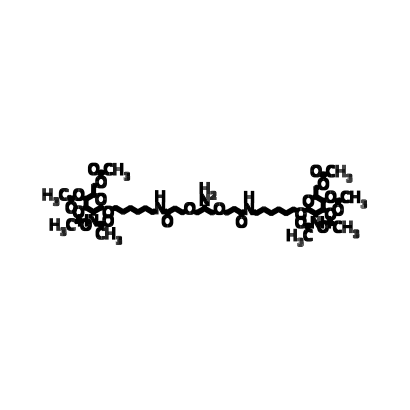 CC(=O)NC1C(OCCCCCCNC(=O)CCOCC(N)COCCC(=O)NCCCCCCOC2OC(COC(C)=O)C(OC(C)=O)C(OC(C)=O)C2NC(C)=O)OC(COC(C)=O)C(OC(C)=O)C1OC(C)=O